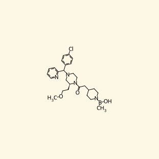 COCC[C@H]1CN(C(c2ccc(Cl)cc2)c2ccccn2)CCN1C(=O)CC1CCN(B(C)O)CC1